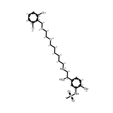 CS(=O)(=O)Nc1cc([C@@H](O)CNCCCCCCOCCOCc2c(Cl)cccc2Cl)ccc1O